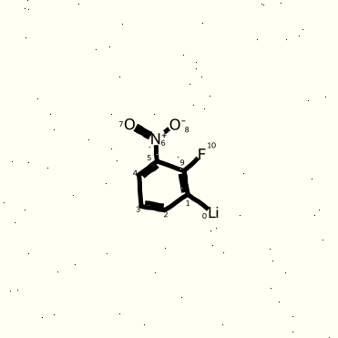 [Li][c]1cccc([N+](=O)[O-])c1F